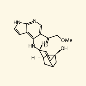 COCC(=O)c1cnc2[nH]ccc2c1N[C@@H]1C=C2C3C[C@@H]1C[C@]2(O)C3